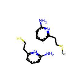 CC(=O)SCCc1cccc(N)n1.Nc1cccc(CCS)n1